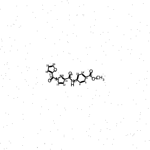 COC(=O)c1ccc(NC(=O)c2ccn(C(=O)c3ccco3)n2)cc1